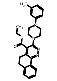 CCOC(=O)c1c(N2CCN(c3cccc(C)c3)CC2)nnc2c1CCc1ccccc1-2